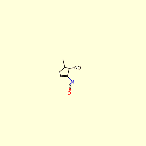 CC1CC=C(N=C=O)C1N=O